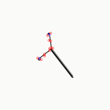 C=C=C=C=C=C=C=C=C=C=C=C=C=C=C=C=C=C=C=C=C=C=C=C=C=C=C=C=C=C=C=C=C=C(C(=O)OCCCCCCOC(=O)CCCCCN1C(=O)C=CC1=O)C(=O)OCCCCCCOC(=O)CCCCCN1C(=O)C=CC1=O